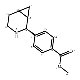 COC(=O)c1ccc([C@H]2NCCC3CC32)cc1